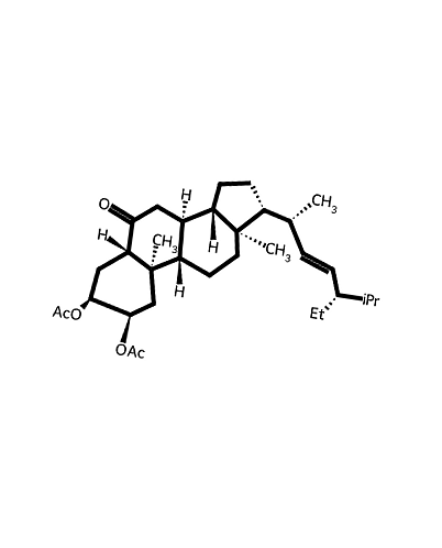 CC[C@H](C=C[C@@H](C)[C@H]1CC[C@H]2[C@@H]3CC(=O)[C@H]4C[C@H](OC(C)=O)[C@H](OC(C)=O)C[C@]4(C)[C@H]3CC[C@]12C)C(C)C